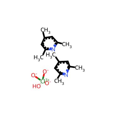 Cc1cc(C)nc(C)c1.Cc1cc(C)nc(C)c1.[O-][Cl+3]([O-])([O-])O